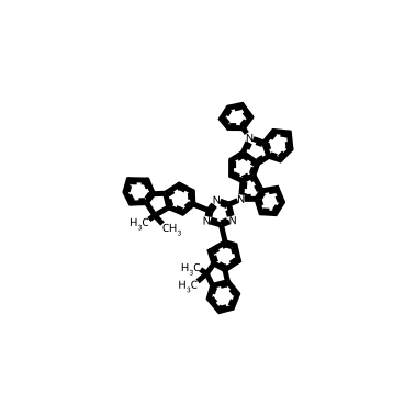 CC1(C)c2ccccc2-c2ccc(-c3nc(-c4ccc5c(c4)C(C)(C)c4ccccc4-5)nc(-n4c5ccccc5c5c6c7ccccc7n(-c7ccccc7)c6ccc54)n3)cc21